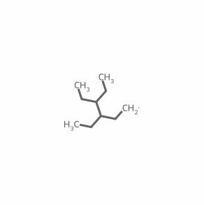 [CH2]CC(CC)C(CC)CC